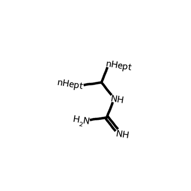 CCCCCCCC(CCCCCCC)NC(=N)N